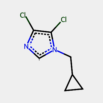 Clc1n[c]n(CC2CC2)c1Cl